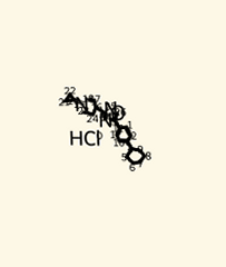 Cl.c1cc(C2CCCCC2)ccc1-c1nc(C2CCN(C3CC3)CC2)no1